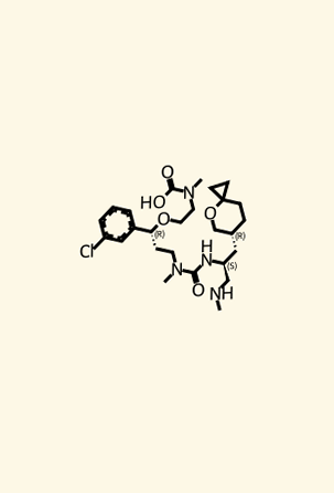 CNC[C@H](C[C@H]1CCC2(CC2)OC1)NC(=O)N(C)CC[C@@H](OCCN(C)C(=O)O)c1cccc(Cl)c1